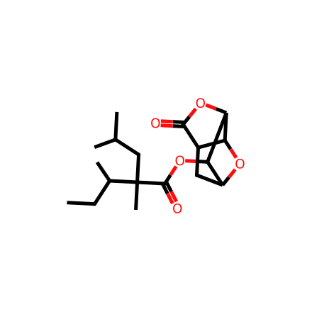 CCC(C)C(C)(CC(C)C)C(=O)OC1C2CC3C(=O)OC1C3O2